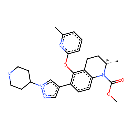 COC(=O)N1c2ccc(-c3cnn(C4CCNCC4)c3)c(Oc3cccc(C)n3)c2CC[C@@H]1C